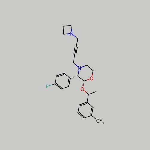 CC(O[C@H]1OCCN(CC#CCN2CCC2)[C@H]1c1ccc(F)cc1)c1cccc(C(F)(F)F)c1